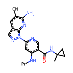 CC(C)Nc1cc(-n2ncc3cc(C#N)c(N)nc32)ncc1C(=O)NC1(C)CC1